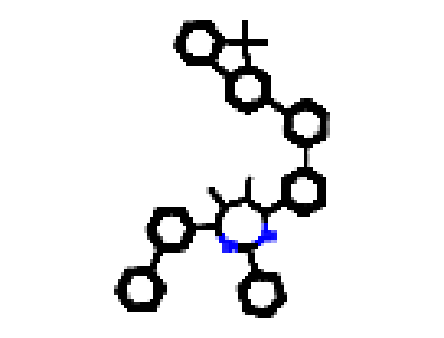 CC1C(c2cccc(-c3ccccc3)c2)N=C(c2ccccc2)NC(c2cccc(-c3cccc(-c4ccc5c(c4)C(C)(C)c4ccccc4-5)c3)c2)C1C